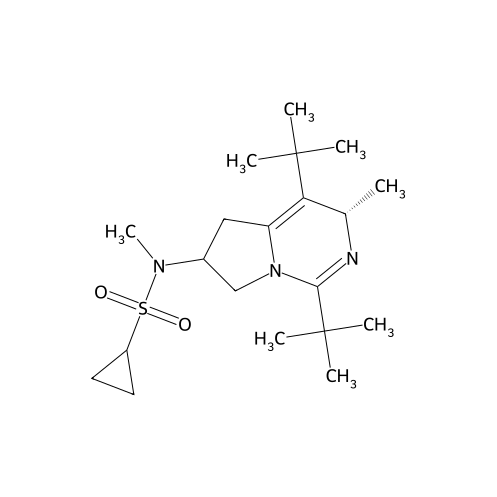 C[C@@H]1N=C(C(C)(C)C)N2CC(N(C)S(=O)(=O)C3CC3)CC2=C1C(C)(C)C